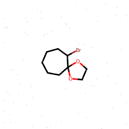 BrC1CCCCCC12OCCO2